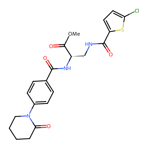 COC(=O)[C@H](CNC(=O)c1ccc(Cl)s1)NC(=O)c1ccc(N2CCCCC2=O)cc1